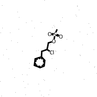 CS(=O)(=O)OCC(Cl)Cc1ccccc1